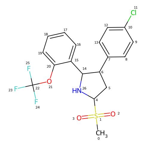 CS(=O)(=O)C1CC(c2ccc(Cl)cc2)C(c2ccccc2OC(F)(F)F)N1